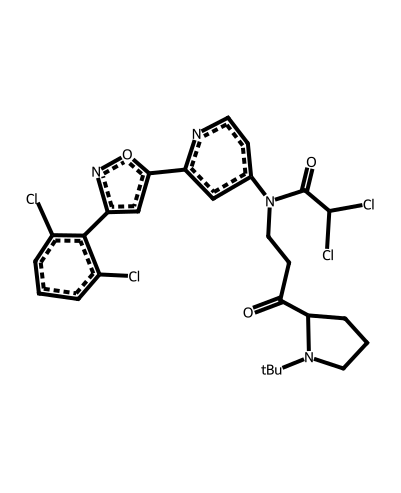 CC(C)(C)N1CCCC1C(=O)CCN(C(=O)C(Cl)Cl)c1ccnc(-c2cc(-c3c(Cl)cccc3Cl)no2)c1